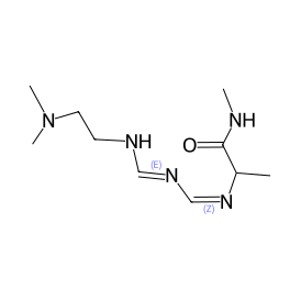 CNC(=O)C(C)/N=C\N=C\NCCN(C)C